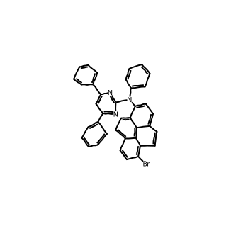 Brc1ccc2ccc3c(N(c4ccccc4)c4nc(-c5ccccc5)cc(-c5ccccc5)n4)ccc4ccc1c2c43